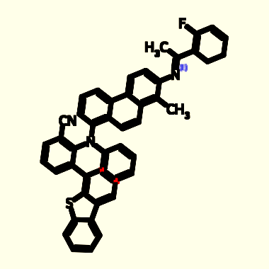 C/C(=N\c1ccc2c(ccc3c(N(c4ccccc4)c4c(C#N)cccc4-c4cccc5c4sc4ccccc45)cccc32)c1C)C1=C(F)C=CCC1